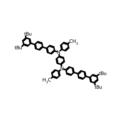 Cc1ccc(N(c2ccc(-c3ccc(-c4cc(C(C)(C)C)cc(C(C)(C)C)c4)cc3)cc2)c2ccc(N(c3ccc(C)cc3)c3ccc(-c4ccc(-c5cc(C(C)(C)C)cc(C(C)(C)C)c5)cc4)cc3)cc2)cc1